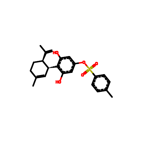 C=C(C)[C@@H]1CCC(C)=C[C@H]1c1c(O)cc(OS(=O)(=O)c2ccc(C)cc2)cc1O